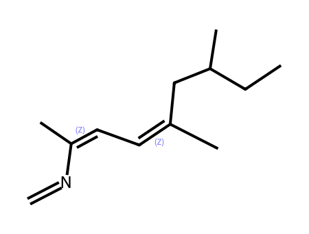 C=N/C(C)=C\C=C(\C)CC(C)CC